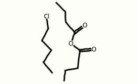 CCCC(=O)OC(=O)CCC.CCCCCCl